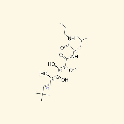 CCCNC(=O)[C@H](CC(C)C)NC(=O)[C@H](OC)[C@H](O)[C@@H](O)[C@H](O)/C=C/C(C)(C)C